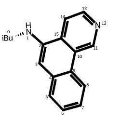 CC[C@@H](C)Nc1cc2ccccc2c2cnccc12